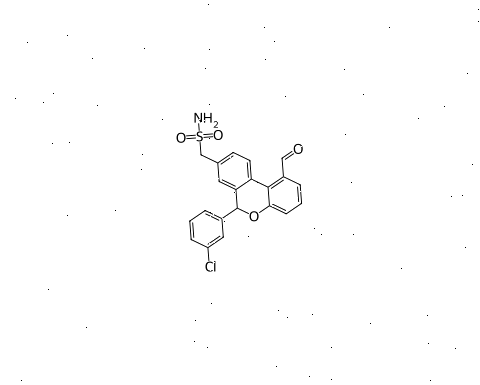 NS(=O)(=O)Cc1ccc2c(c1)C(c1cccc(Cl)c1)Oc1cccc(C=O)c1-2